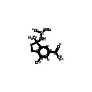 CC1(N[S+]([O-])C(C)(C)C)CCc2c1cc(C(=O)C(F)(F)F)nc2Cl